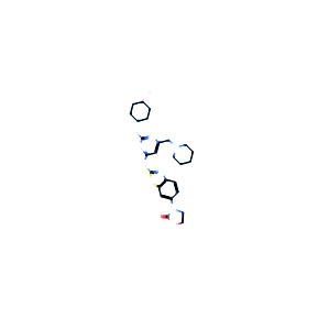 O=C1OCCN1c1ccc2nc(Nc3cc(CN4CCCCC4)nc(N[C@H]4CC[C@H](O)CC4)n3)sc2c1